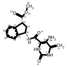 C=C1NC(=O)NC(C(=O)N[C@H]2C[C@@H](C(=O)OC)c3ccccc32)=C1N